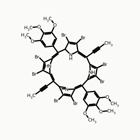 CC#C/C1=C2/NC(C(Br)=C2Br)/C(c2cc(OC)c(OC)c(OC)c2)=c2\[nH]/c(c(Br)c2Br)=C(/C#CC)C2=N/C(=C(/c3cc(OC)c(OC)c(OC)c3)c3[nH]c1c(Br)c3Br)C(Br)=C2Br